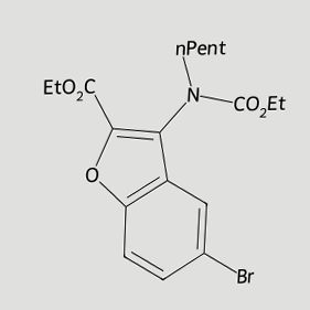 CCCCCN(C(=O)OCC)c1c(C(=O)OCC)oc2ccc(Br)cc12